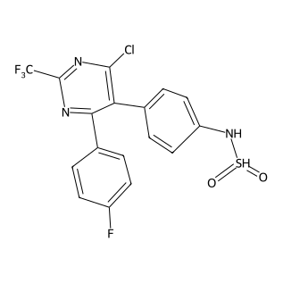 O=[SH](=O)Nc1ccc(-c2c(Cl)nc(C(F)(F)F)nc2-c2ccc(F)cc2)cc1